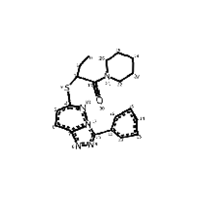 CCC(Sc1ccc2nnc(-c3ccccc3)n2n1)C(=O)N1CCCCC1